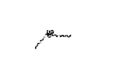 C=CCCCCCCCCC(=O)OC(=O)CCCCCCCCC=C